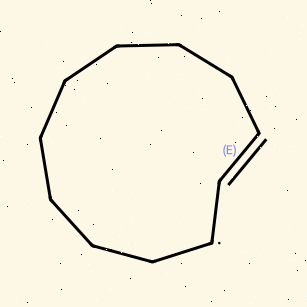 [CH]1/C=C/CCCCCCCC1